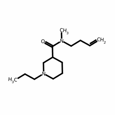 C=CCCN(C)C(=O)C1CCCN(CCC)C1